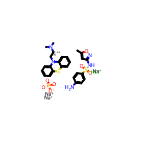 C[C@H](CN1c2ccccc2Sc2ccccc21)N(C)C.Cc1cc(NS(=O)(=O)c2ccc(N)cc2)no1.Cl.O=P([O-])([O-])[O-].[Na+].[Na+].[Na+]